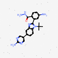 CC(C)(C)n1c(-c2cc(N)ccc2C(=O)NN)nc2cc(-c3cnc(N)nc3)ccc21